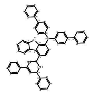 C1=C(c2ccccc2)NC(c2ccc(N(c3ccc(-c4ccccc4)cc3)c3ccc(-c4ccccc4)cc3)c3oc4ccccc4c23)NC1c1ccccc1